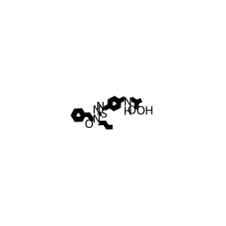 CCCCN(C(=O)Cc1ccccc1)c1nnc(-c2ccc(CNCC(C)C(=O)O)cc2)s1